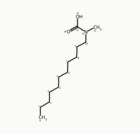 CCCCCCCCCCCN(C)C(=O)O